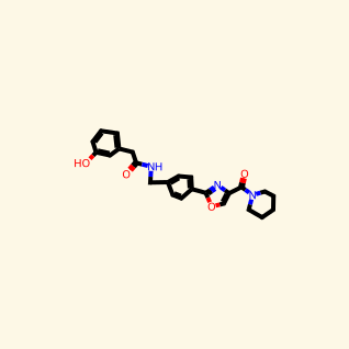 O=C(Cc1cccc(O)c1)NCc1ccc(-c2nc(C(=O)N3CCCCC3)co2)cc1